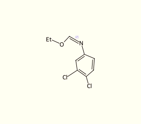 CCO/C=N\c1ccc(Cl)c(Cl)c1